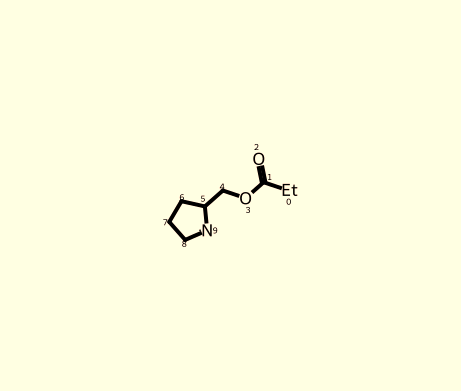 CCC(=O)OCC1CCC[N]1